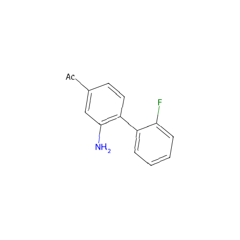 CC(=O)c1ccc(-c2ccccc2F)c(N)c1